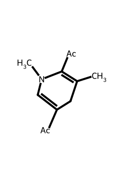 CC(=O)C1=CN(C)C(C(C)=O)=C(C)C1